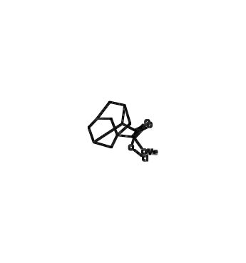 COC(=O)C12CC3CC(C1)C(C(=O)OCl)C(C3)C2